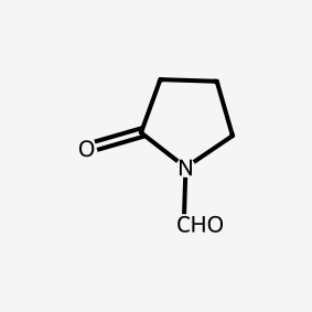 O=CN1CCCC1=O